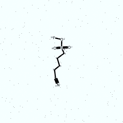 N#CCCCCS(=O)(=O)OF